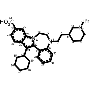 CC(C)N1CCCC(CCN2CCn3c(c(C4CCCCC4)c4ccc(C(=O)O)cc43)-c3ccccc32)C1